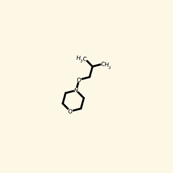 CC(C)CON1CCOCC1